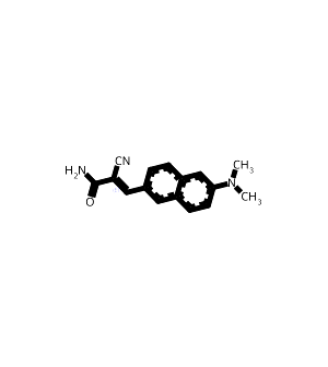 CN(C)c1ccc2cc(/C=C(\C#N)C(N)=O)ccc2c1